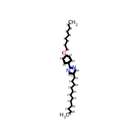 C=CCCCCCCCOc1ccc(-c2ncc(CCCCCCCCCCCC)cn2)cc1